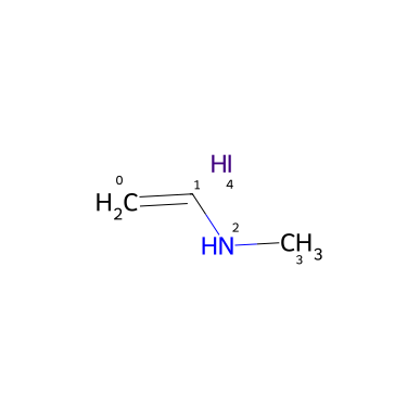 C=CNC.I